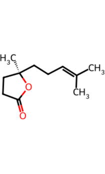 CC(C)=CCC[C@]1(C)CCC(=O)O1